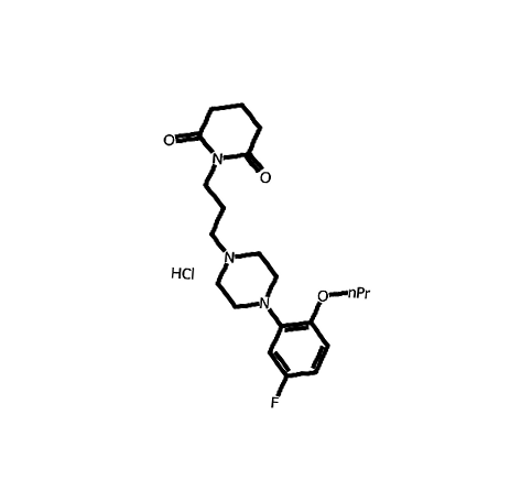 CCCOc1ccc(F)cc1N1CCN(CCCN2C(=O)CCCC2=O)CC1.Cl